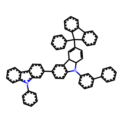 C1=CC2C(C=C1C1(c3ccccc3)c3ccccc3-c3ccccc31)c1cc(-c3ccc4c5ccccc5n(-c5ccccc5)c4c3)ccc1N2c1cccc(-c2ccccc2)c1